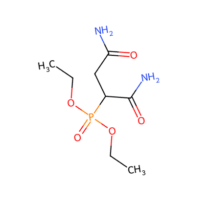 CCOP(=O)(OCC)C(CC(N)=O)C(N)=O